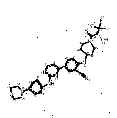 N#Cc1cc(-c2ccnc(Nc3ccc(N4CCOCC4)cc3)n2)ccc1OC1CCN(C(=O)[C@@H](O)C(F)(F)F)CC1